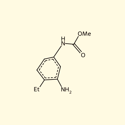 CCc1ccc(NC(=O)OC)cc1N